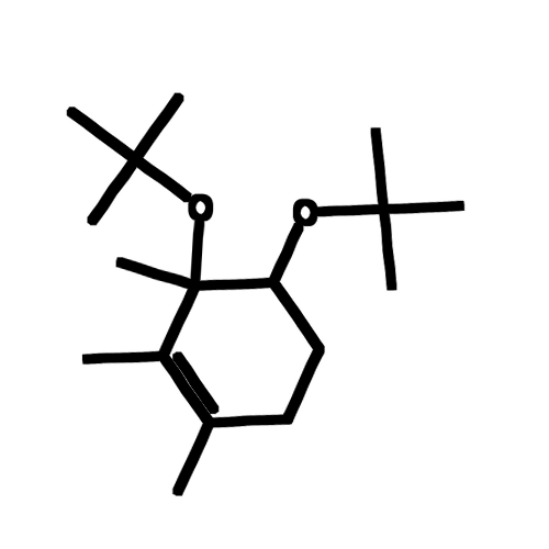 CC1=C(C)C(C)(OC(C)(C)C)C(OC(C)(C)C)CC1